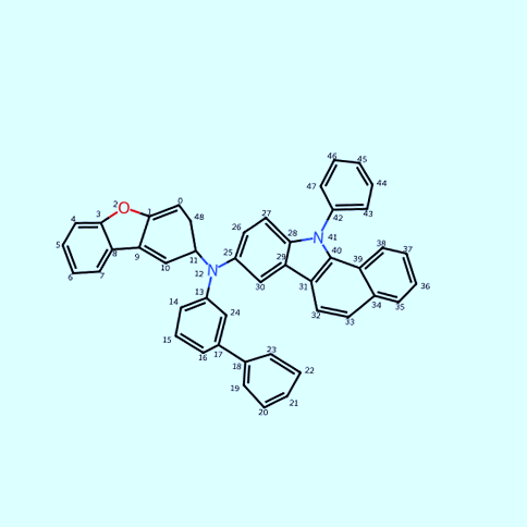 C1=c2oc3ccccc3c2=CC(N(c2cccc(-c3ccccc3)c2)c2ccc3c(c2)c2ccc4ccccc4c2n3-c2ccccc2)C1